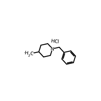 Cl.[CH2]C1CCN(Cc2ccccc2)CC1